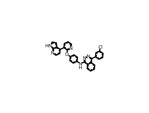 Clc1cccc(-c2nnc(Nc3ccc(Oc4ncccc4-c4ccnc5[nH]ccc45)cc3)c3ccccc23)c1